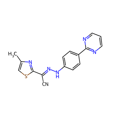 Cc1csc(/C(C#N)=N/Nc2ccc(-c3ncccn3)cc2)n1